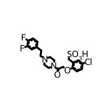 O=C(COc1ccc(Cl)cc1CS(=O)(=O)O)N1CCN(CCc2ccc(F)c(F)c2)CC1